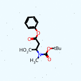 CN(C(=O)OC(C)(C)C)C(CC(=O)Oc1ccccc1)C(=O)O